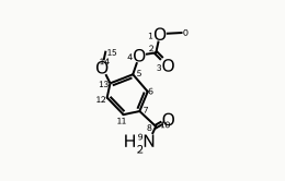 COC(=O)Oc1cc(C(N)=O)ccc1OC